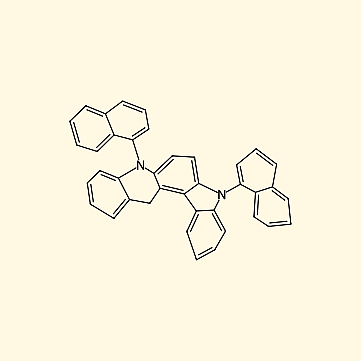 c1ccc2c(c1)Cc1c(ccc3c1c1ccccc1n3-c1cccc3ccccc13)N2c1cccc2ccccc12